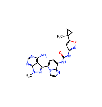 Cn1nc(-c2ccc(NC(=O)Nc3cc(C4(C(F)(F)F)CC4)on3)c3nccn23)c2c(N)ncnc21